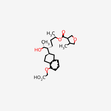 CC1COCC1C(=O)O[C@@H](C)CC[C@H]([C@@H]1CCc2c(cccc2OCC(=O)O)C1)[C@@H](C)O